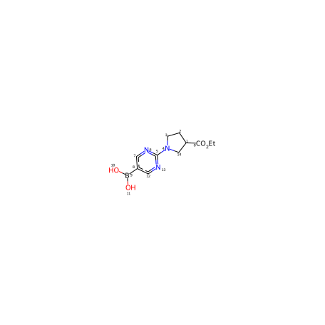 CCOC(=O)C1CCN(c2ncc(B(O)O)cn2)C1